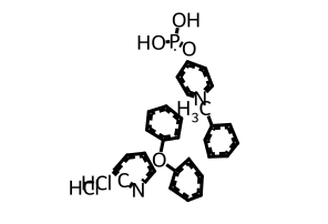 Cc1ccccc1.Cl.Cl.O=[P](O)O.c1ccc(Oc2ccccc2)cc1.c1ccncc1.c1ccncc1